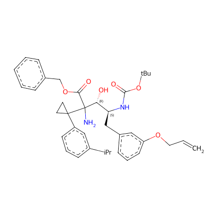 C=CCOc1cccc(C[C@H](NC(=O)OC(C)(C)C)[C@@H](O)C(N)(C(=O)OCc2ccccc2)C2(c3cccc(C(C)C)c3)CC2)c1